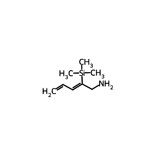 C=CC=C(CN)[Si](C)(C)C